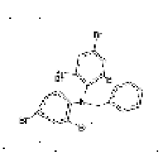 Brc1cc(Br)c(N(Cc2ccccc2)c2c(Br)cc(Br)cc2Br)c(Br)c1